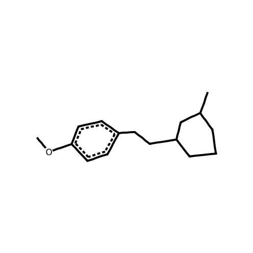 COc1ccc(CCC2CCCC(C)C2)cc1